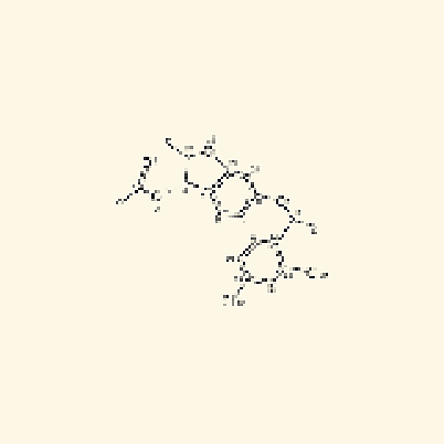 CC(=O)O[C@H]1c2ccc(OC(C)c3ccc(Cl)cc3Cl)cc2OC1C